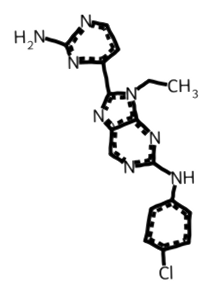 CCn1c(-c2ccnc(N)n2)nc2cnc(Nc3ccc(Cl)cc3)nc21